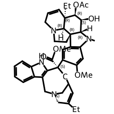 CCC1=CC2C[N@](C1)Cc1c([nH]c3ccccc13)[C@@](C(=O)OC)(c1cc3c(cc1OC)N(C)[C@H]1[C@H](O)[C@H](OC(C)=O)[C@]4(CC)C=CCN5CC[C@]31[C@@H]54)C2